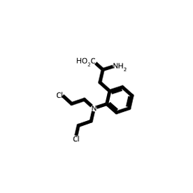 NC(Cc1ccccc1N(CCCl)CCCl)C(=O)O